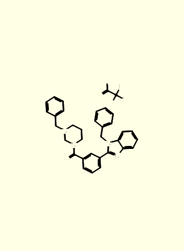 O=C(O)C(F)(F)F.O=C(c1cccc(-c2nc3ccccc3n2Cc2ccccc2)c1)N1CCCN(Cc2ccccc2)C1